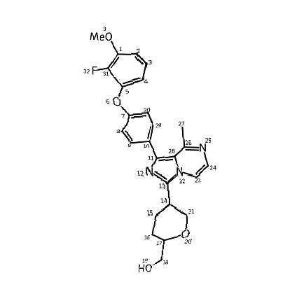 COc1cccc(Oc2ccc(-c3nc(C4CCC(CO)OC4)n4ccnc(C)c34)cc2)c1F